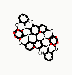 N#Cc1ccc(-c2ccc(C#N)c(N3c4ccccc4Oc4ccccc43)c2N2c3ccccc3Oc3ccccc32)c(N2c3ccccc3Oc3ccccc32)c1N1c2ccccc2Oc2ccccc21